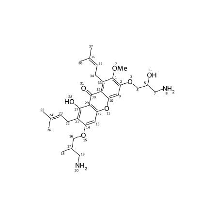 COc1c(OCC(O)CN)cc2oc3cc(OCC(C)CN)c(CC=C(C)C)c(O)c3c(=O)c2c1CC=C(C)C